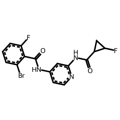 O=C(Nc1ccnc(NC(=O)C2CC2F)c1)c1c(F)cccc1Br